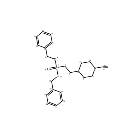 CC(C)(C)N1CCC(CCP(=O)(OCc2ccccc2)OCc2ccccc2)CC1